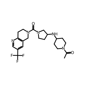 CC(=O)N1CCC(NC2CCN(C(=O)N3CCc4ncc(C(F)(F)F)cc4C3)C2)CC1